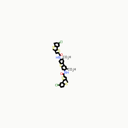 O=C(Nc1cc2sc3cc(NC(=O)c4cc5c(s4)-c4cc(Cl)ccc4SC5)c(C(=O)O)cc3c2cc1C(=O)O)c1cc2c(s1)-c1cc(Cl)ccc1SC2